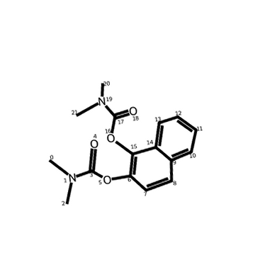 CN(C)C(=O)Oc1ccc2ccccc2c1OC(=O)N(C)C